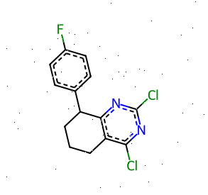 Fc1ccc(C2CCCc3c(Cl)nc(Cl)nc32)cc1